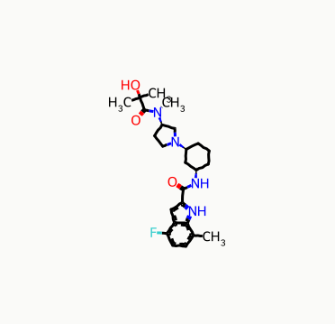 Cc1ccc(F)c2cc(C(=O)N[C@@H]3CCC[C@H](N4CC[C@@H](N(C)C(=O)C(C)(C)O)C4)C3)[nH]c12